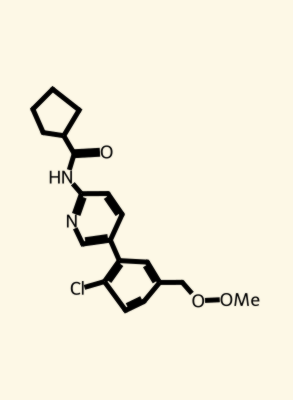 COOCc1ccc(Cl)c(-c2ccc(NC(=O)C3CCCC3)nc2)c1